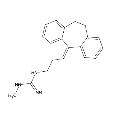 CNC(=N)NCCC=C1c2ccccc2CCc2ccccc21